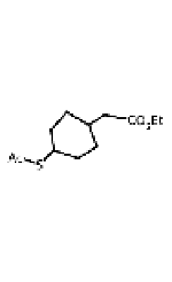 CCOC(=O)CC1CCC(SC(C)=O)CC1